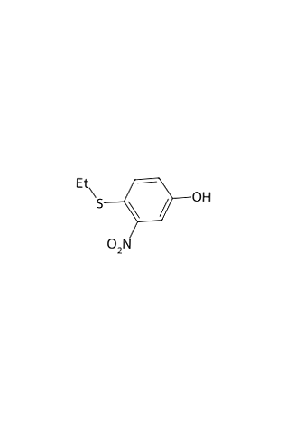 CCSc1ccc(O)cc1[N+](=O)[O-]